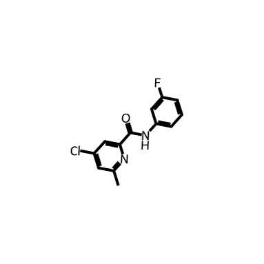 Cc1cc(Cl)cc(C(=O)Nc2cccc(F)c2)n1